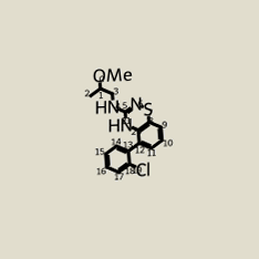 COC(C)CNC1=NSc2cccc(-c3ccccc3Cl)c2N1